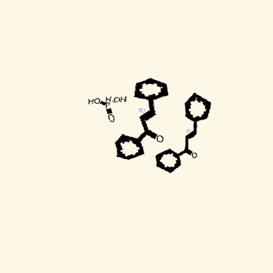 O=C(/C=C/c1ccccc1)c1ccccc1.O=C(/C=C/c1ccccc1)c1ccccc1.O=[PH](O)O